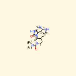 CC1CCN(C(=O)N(C(C)C)C(C)C)CC1n1c(=O)[nH]c2cnc3[nH]ccc3c21